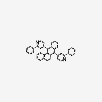 c1ccc(-c2cc(-c3c4ccccc4c(-c4ccnc(-c5ccccc5)c4)c4c3ccc3ccccc34)ccn2)cc1